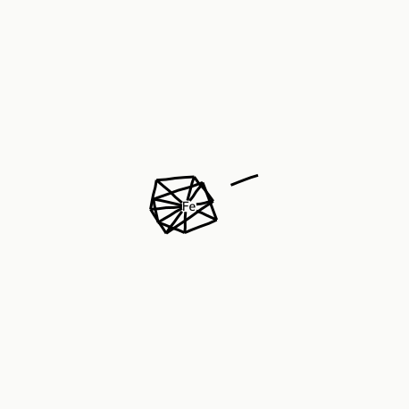 CC.[CH]12[CH]3[CH]4[CH]5[CH]1[Fe]23451678[CH]2[CH]1[CH]6[CH]7[CH]28